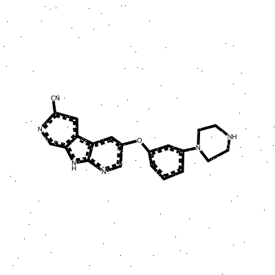 N#Cc1cc2c(cn1)[nH]c1ncc(Oc3cccc(N4CCNCC4)c3)cc12